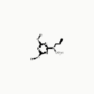 C=CCN(C(=O)OCC)c1nc(OCC)nc(SCC)n1